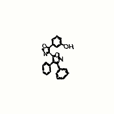 Oc1cccc(-c2ocnc2-c2onc(-c3ccccc3)c2-c2ccccc2)c1